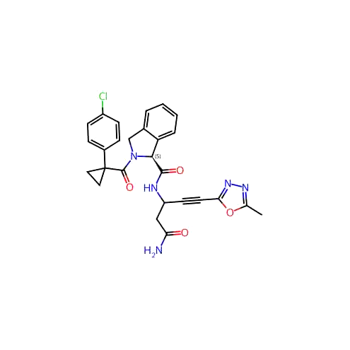 Cc1nnc(C#CC(CC(N)=O)NC(=O)[C@@H]2c3ccccc3CN2C(=O)C2(c3ccc(Cl)cc3)CC2)o1